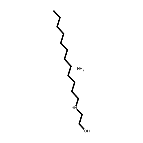 CCCCCCCCCCCCNCCO.N